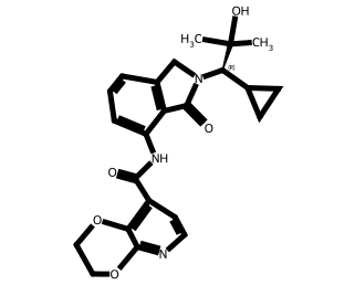 CC(C)(O)[C@@H](C1CC1)N1Cc2cccc(NC(=O)c3ccnc4c3OCCO4)c2C1=O